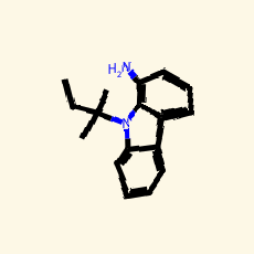 CCC(C)(C)n1c2ccccc2c2cccc(N)c21